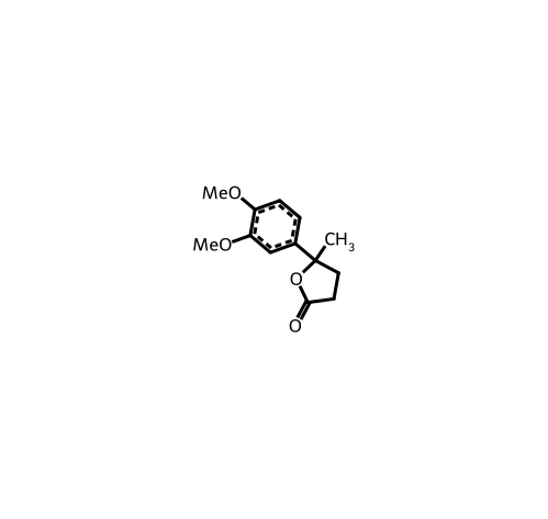 COc1ccc(C2(C)CCC(=O)O2)cc1OC